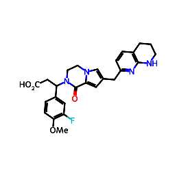 COc1ccc(C(CC(=O)O)N2CCn3cc(Cc4ccc5c(n4)NCCC5)cc3C2=O)cc1F